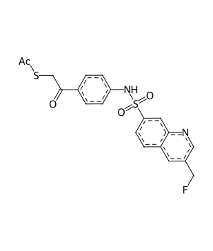 CC(=O)SCC(=O)c1ccc(NS(=O)(=O)c2ccc3cc(CF)cnc3c2)cc1